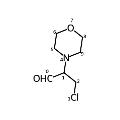 O=CC(CCl)N1CCOCC1